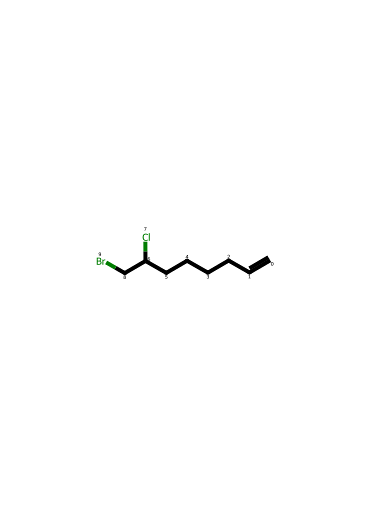 C=CCCCCC(Cl)CBr